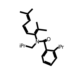 CC(C)=C/C=C\C(=C(C)C)N(CC(C)C)C(=O)c1ccccc1C(C)C